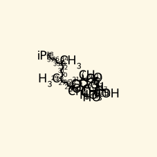 Cc1c(C)c2c(c(C)c1OC(=O)OCC(CO)(CO)CO)CCC(C)(CCCC(C)CCCC(C)CCCC(C)C)O2